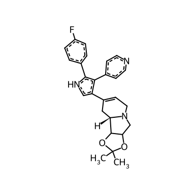 CC1(C)OC2CN3CC=C(c4c[nH]c(-c5ccc(F)cc5)c4-c4ccncc4)C[C@H]3C2O1